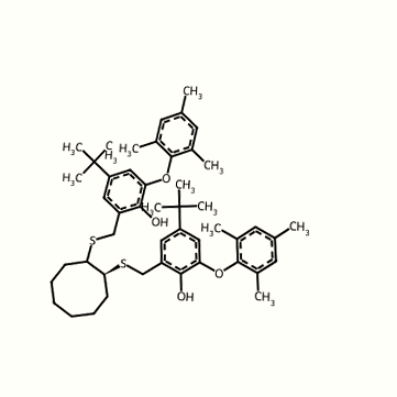 Cc1cc(C)c(Oc2cc(C(C)(C)C)cc(CSC3CCCCCC[C@@H]3SCc3cc(C(C)(C)C)cc(Oc4c(C)cc(C)cc4C)c3O)c2O)c(C)c1